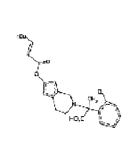 CCCCC=CC(=O)Oc1cc2c(s1)CCN(C(C)(C(=O)O)c1ccccc1Cl)C2